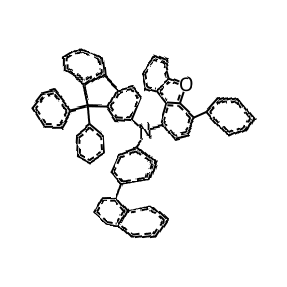 c1ccc(-c2ccc(N(c3ccc(-c4cccc5ccccc45)cc3)c3ccc4c(c3)C(c3ccccc3)(c3ccccc3)c3ccccc3-4)c3c2oc2ccccc23)cc1